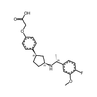 COc1cc([C@@H](C)N[C@H]2CC[C@@H](c3ccc(OCC(=O)O)cc3)C2)ccc1F